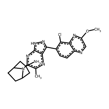 COc1cnc2ccc(-c3n[nH]c4nc(N5C6CCC5CC(N)C6)c(C)nc34)c(Cl)c2n1